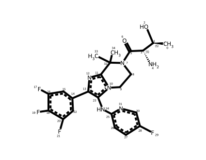 C[C@H](O)[C@H](N)C(=O)N1CCn2c(nc(-c3cc(F)c(F)c(F)c3)c2Nc2ccc(F)cn2)C1(C)C